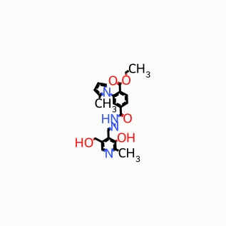 CCOC(=O)c1ccc(C(=O)N/N=C/c2c(CO)cnc(C)c2O)cc1-n1cccc1C